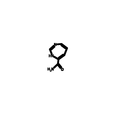 NC(=O)C1=CC=CN=CN1